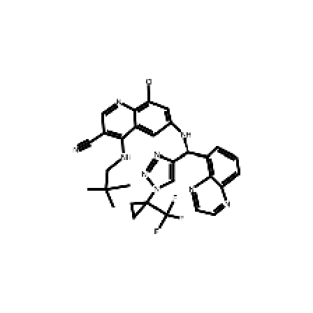 CC(C)(C)CNc1c(C#N)cnc2c(Cl)cc(N[C@H](c3cn(C4(C(F)(F)F)CC4)nn3)c3cccc4nccnc34)cc12